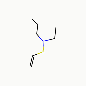 C=CSN(CC)CCC